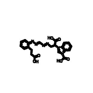 O=C(O)CCn1ccccc1=NN=CN=NCC(C(=O)O)[n+]1cn(C(=O)O)c2ccccc21